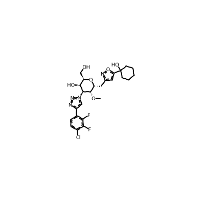 CO[C@@H]1[C@@H](n2cc(-c3ccc(Cl)c(F)c3F)nn2)[C@@H](O)[C@@H](CO)O[C@@H]1Cc1cc(C2(O)CCCCC2)on1